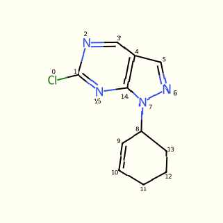 Clc1ncc2cnn(C3C=CCCC3)c2n1